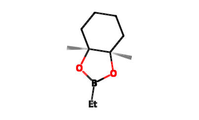 CCB1O[C@]2(C)CCCC[C@]2(C)O1